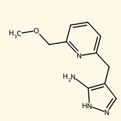 COCc1cccc(Cc2cn[nH]c2N)n1